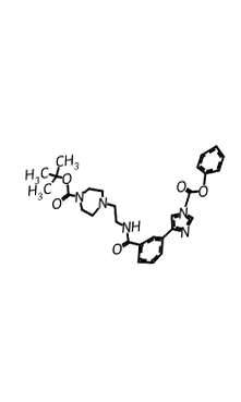 CC(C)(C)OC(=O)N1CCN(CCNC(=O)c2cccc(-c3cn(C(=O)Oc4ccccc4)cn3)c2)CC1